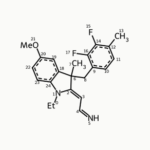 CCN1/C(=C\C=N)C(C)(Cc2ccc(C)c(F)c2F)c2cc(OC)ccc21